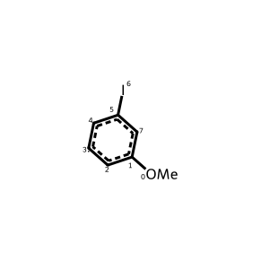 COc1c[c]cc(I)c1